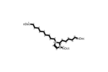 CCCCCCCCCCCCCCCCCCCN1C=CN(CCCCCCCC)C1CCCCCCCCCCCCCCC